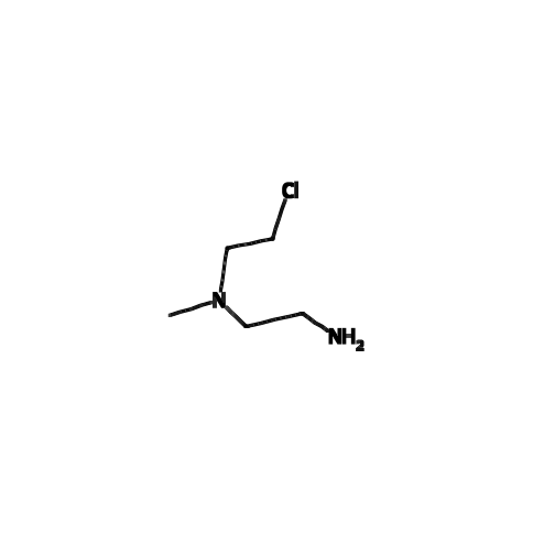 CN(CCN)CCCl